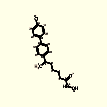 CC(CCCCC(=O)NO)c1ccc(-c2ccc(Cl)cc2)cc1